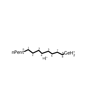 CCCCCCCCCCCC[CH2][GeH2+].[I-]